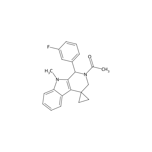 CC(=O)N1CC2(CC2)c2c(n(C)c3ccccc23)C1c1cccc(F)c1